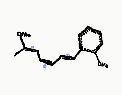 CO/C(C)=C/C=C\C=C\c1ccccc1OC